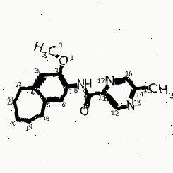 COc1cc2c(cc1NC(=O)c1cnc(C)cn1)CCCCC2